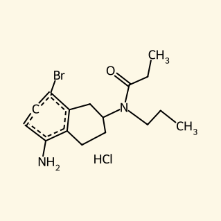 CCCN(C(=O)CC)C1CCc2c(N)ccc(Br)c2C1.Cl